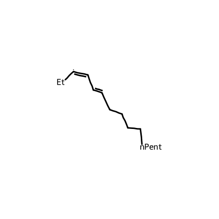 CC/[C]=C\C=C\CCCCCCCCC